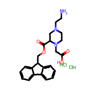 Cl.Cl.NCCN1CCN(CC(=O)O)C(C(=O)OCC2c3ccccc3-c3ccccc32)C1